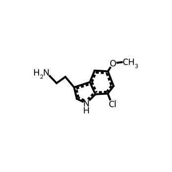 COc1cc(Cl)c2[nH]cc(CCN)c2c1